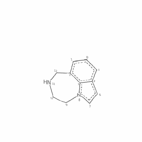 c1cc2c3c(c1)ccn3CCNC2